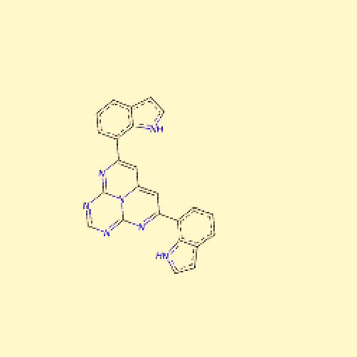 C1=NC2=NC(c3cccc4cc[nH]c34)=CC3=CC(c4cccc5cc[nH]c45)=NC(=N1)N32